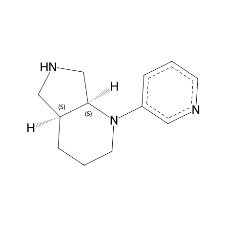 c1cncc(N2CCC[C@H]3CNC[C@H]32)c1